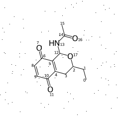 CCC1CC2=C(C(=O)C=CC2=O)C(NC(C)=O)O1